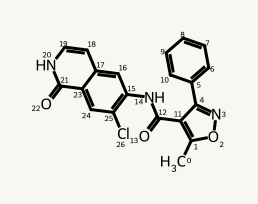 Cc1onc(-c2ccccc2)c1C(=O)Nc1cc2cc[nH]c(=O)c2cc1Cl